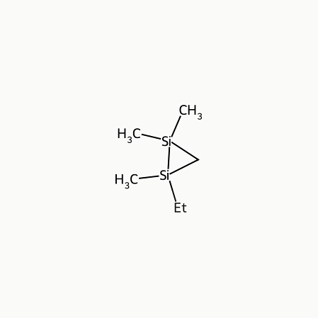 CC[Si]1(C)C[Si]1(C)C